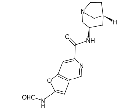 O=CNc1cc2cnc(C(=O)N[C@@H]3C[C@H]4CCN(C4)C3)cc2o1